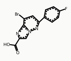 O=C(O)c1cn2nc(-c3ccc(F)cc3)cc(Br)c2n1